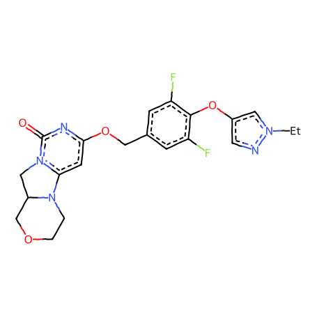 CCn1cc(Oc2c(F)cc(COc3cc4n(c(=O)n3)CC3COCCN43)cc2F)cn1